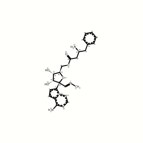 CN=C[C@@]1(c2ccc3c(N)ncnn23)O[C@H](COC(=O)C[C@@H](N)Cc2ccccc2)[C@@H](O)[C@H]1O